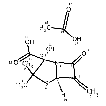 C=C1C(=O)N2[C@@H]1SC(C)(C)[C@@]2(O)C(=O)O.CC(=O)O